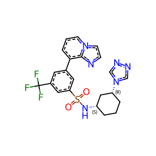 O=S(=O)(N[C@H]1CCC[C@@H](n2cnnc2)C1)c1cc(-c2cccn3ccnc23)cc(C(F)(F)F)c1